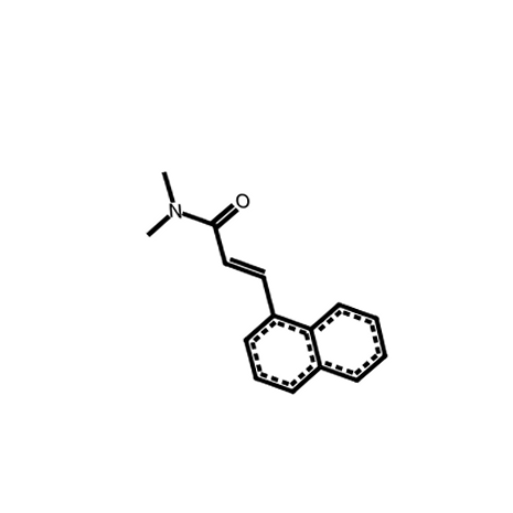 CN(C)C(=O)C=Cc1cccc2ccccc12